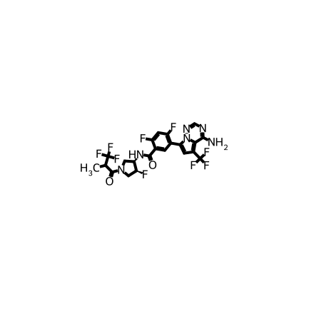 CC(C(=O)N1C[C@H](F)[C@H](NC(=O)c2cc(-c3cc(C(F)(F)F)c4c(N)ncnn34)c(F)cc2F)C1)C(F)(F)F